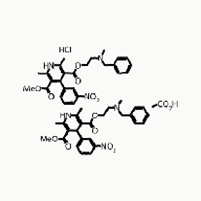 CC(=O)O.COC(=O)C1=C(C)NC(C)=C(C(=O)OCCN(C)Cc2ccccc2)C1c1cccc([N+](=O)[O-])c1.COC(=O)C1=C(C)NC(C)=C(C(=O)OCCN(C)Cc2ccccc2)C1c1cccc([N+](=O)[O-])c1.Cl